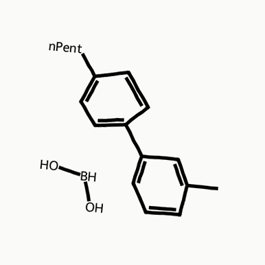 CCCCCc1ccc(-c2cccc(C)c2)cc1.OBO